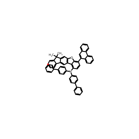 CC1(C)c2ccccc2-c2cc3c(cc21)oc1c(-c2cc4ccccc4c4ccccc24)ccc(N(c2ccc(-c4ccccc4)cc2)c2ccc(-c4ccccc4)cc2)c13